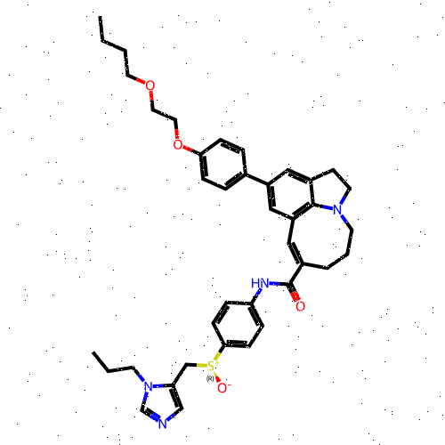 CCCCOCCOc1ccc(-c2cc3c4c(c2)CCN4CCCC(C(=O)Nc2ccc([S@@+]([O-])Cc4cncn4CCC)cc2)=C3)cc1